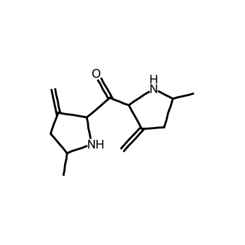 C=C1CC(C)NC1C(=O)C1NC(C)CC1=C